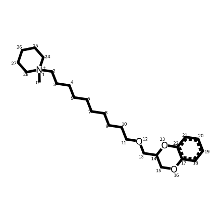 C[N+]1(CCCCCCCCCCOCC2COc3ccccc3O2)CCCCC1